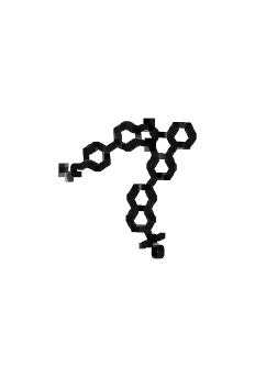 CP(C)(=O)c1ccc2ccc(-c3ccc4c5ccccc5c5nc6ccc(-c7ccc(C(F)(F)F)cc7)cc6n5c4c3)cc2c1